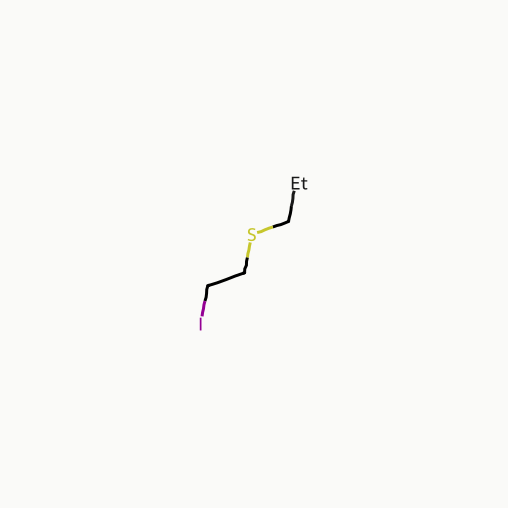 CCCSCCI